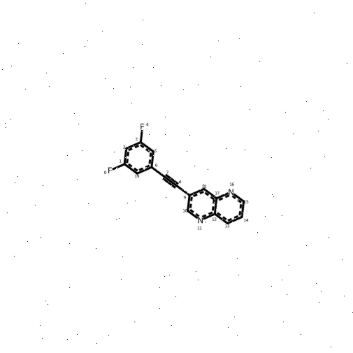 Fc1cc(F)cc(C#Cc2cnc3cccnc3c2)c1